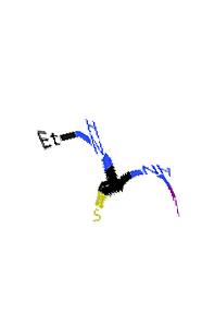 CCNC(=S)NI